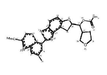 COc1cnc2c(-c3nc4ccc5c(c4s3)CC([C@@H](OC(N)=O)C3CCOC3)O5)cc(C)cc2n1